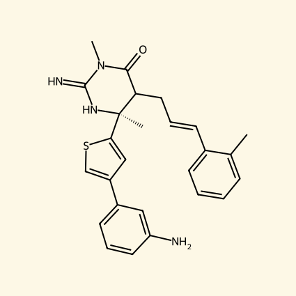 Cc1ccccc1/C=C/CC1C(=O)N(C)C(=N)N[C@]1(C)c1cc(-c2cccc(N)c2)cs1